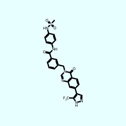 CS(=O)(=O)Nc1ccc(NC(=O)c2cccc(Cn3cnc4cc(-c5cn[nH]c5C(F)(F)F)ccc4c3=O)c2)cc1